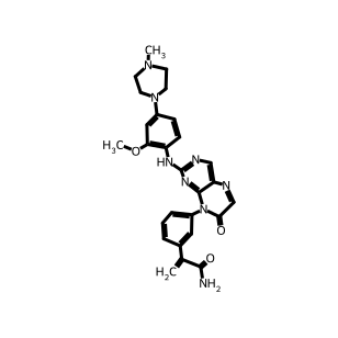 C=C(C(N)=O)c1cccc(-n2c(=O)cnc3cnc(Nc4ccc(N5CCN(C)CC5)cc4OC)nc32)c1